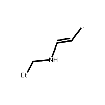 [CH2]/C=C/NCCC